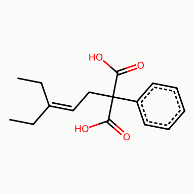 CCC(=CCC(C(=O)O)(C(=O)O)c1ccccc1)CC